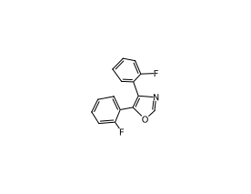 Fc1ccccc1-c1ncoc1-c1ccccc1F